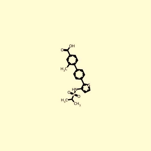 Cc1cc(C(=O)O)ccc1-c1ccc(-c2sccc2NS(=O)(=O)C(C)C)cc1